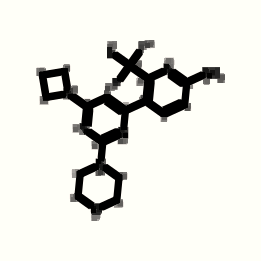 Nc1ccc(-c2cc(N3CCC3)nc(N3CCOCC3)n2)c(C(F)(F)F)n1